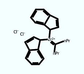 CCC[C](CCC)=[Zr+2]([CH]1C=Cc2ccccc21)[CH]1C=Cc2ccccc21.[Cl-].[Cl-]